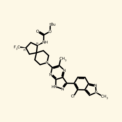 Cc1nc2c(-c3ccc4nn(C)cc4c3Cl)n[nH]c2nc1N1CCC2(CC1)C[C@@H](C(F)(F)F)C[C@H]2NC(=O)OC(C)(C)C